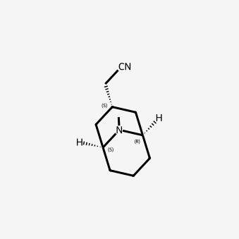 CN1[C@@H]2CCC[C@H]1C[C@H](CC#N)C2